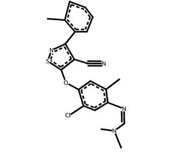 Cc1cc(Oc2snc(-c3ccccc3C)c2C#N)c(Cl)cc1/N=C\N(C)C